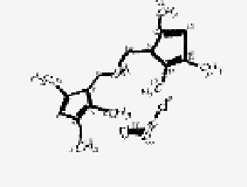 CC1=CC(C)=C(C)C1C[SiH]CC1C(C)=CC(C)=C1C.[Cl][Zr][Cl]